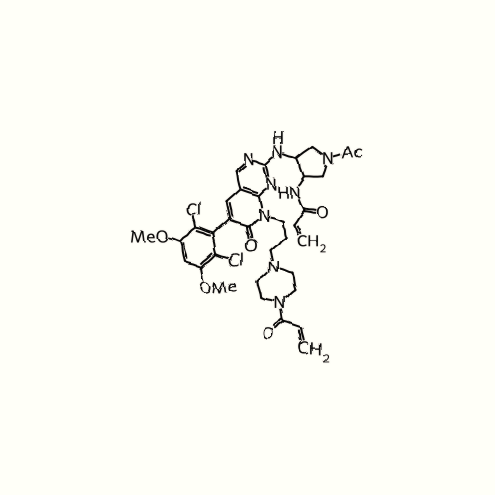 C=CC(=O)NC1CN(C(C)=O)CC1Nc1ncc2cc(-c3c(Cl)c(OC)cc(OC)c3Cl)c(=O)n(CCCN3CCN(C(=O)C=C)CC3)c2n1